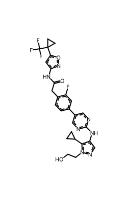 O=C(Cc1ccc(-c2cnc(Nc3cnn(CCO)c3C3CC3)nc2)cc1F)Nc1cc(C2(C(F)(F)F)CC2)on1